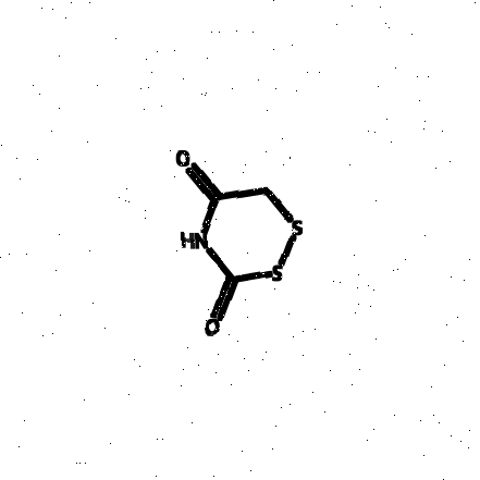 O=C1CSSC(=O)N1